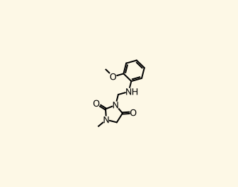 COc1ccccc1NCN1C(=O)CN(C)C1=O